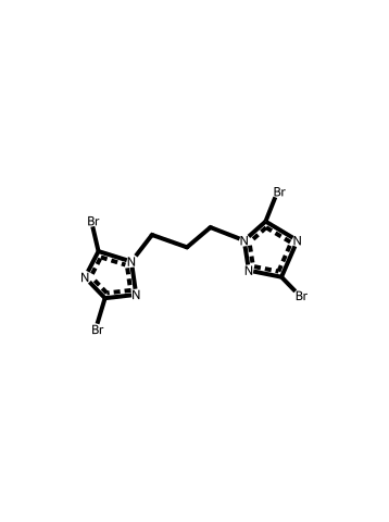 Brc1nc(Br)n(CCCn2nc(Br)nc2Br)n1